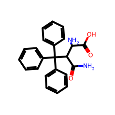 NC(=O)C(C(N)C(=O)O)C(c1ccccc1)(c1ccccc1)c1ccccc1